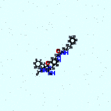 CCCCC1(CC2CCCCC2)NC(=N)N(Cc2ccc(CNC(=O)NCCCCc3ccccc3)cc2)C1=O